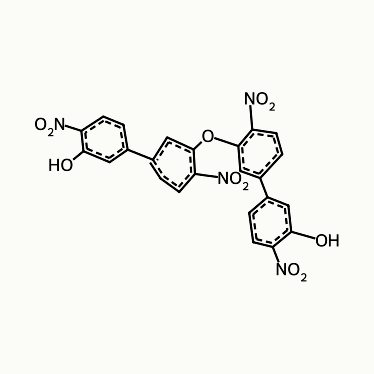 O=[N+]([O-])c1ccc(-c2ccc([N+](=O)[O-])c(Oc3cc(-c4ccc([N+](=O)[O-])c(O)c4)ccc3[N+](=O)[O-])c2)cc1O